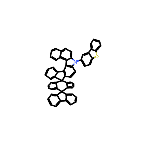 c1ccc2c(c1)-c1ccccc1C21c2ccccc2C2(c3ccccc3-c3c2ccc2c3c3c4ccccc4ccc3n2-c2ccc3sc4ccccc4c3c2)c2ccccc21